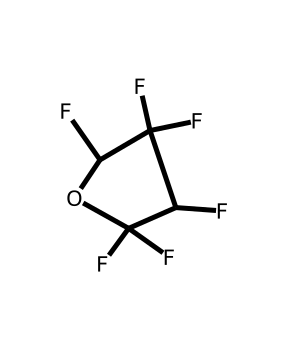 FC1OC(F)(F)C(F)C1(F)F